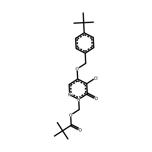 CC(C)(C)C(=O)OCn1ncc(OCc2ccc(C(C)(C)C)cc2)c(Cl)c1=O